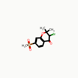 CC1(C)Oc2cc(S(C)(=O)=O)ccc2C(=O)C1Br